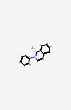 [Cl-].c1ccc(-[n+]2ccc3ccccc3c2)cc1